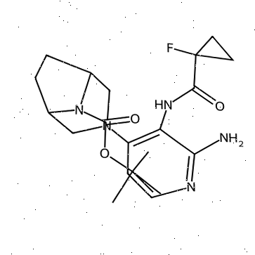 CC(C)(C)OC(=O)N1C2CCC1CN(c1ccnc(N)c1NC(=O)C1(F)CC1)C2